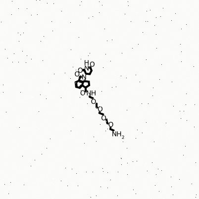 NCCOCCOCCOCCOCCNC(=O)C1CCC2c3c(cccc31)C(=O)N2C1CCC(=O)NC1=O